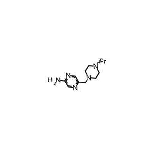 CC(C)N1CCN(Cc2cnc(N)cn2)CC1